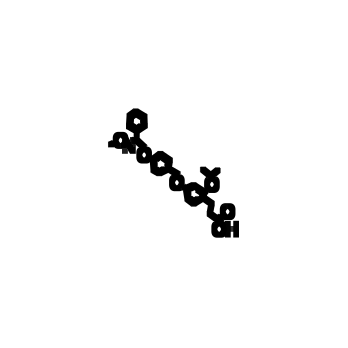 CON=C(COc1ccc(COc2ccc(CCC(=O)O)c(OC(C)C)c2)cc1)c1ccccc1